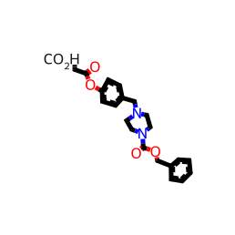 O=C(O)CC(=O)Oc1ccc(CN2CCN(C(=O)OCc3ccccc3)CC2)cc1